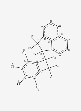 CC1(C)c2c(Cl)c(Cl)c(Cl)c(Cl)c2C1(C)C1(C)c2cccc3cccc(c23)C1(C)C